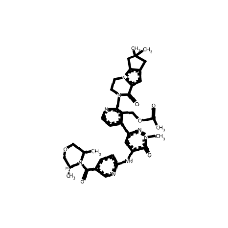 CC(=O)OCc1c(-c2cc(Nc3ccc(C(=O)N4C(C)COC[C@H]4C)cn3)c(=O)n(C)n2)ccnc1N1CCn2c(cc3c2CC(C)(C)C3)C1=O